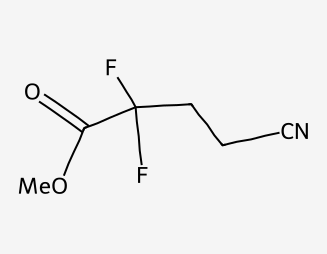 COC(=O)C(F)(F)CCC#N